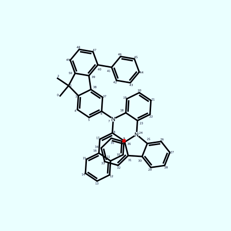 CC1(C)c2ccc(N(c3ccc4ccccc4c3)c3ccccc3-n3c4ccccc4c4ccccc43)cc2-c2c(-c3ccccc3)cccc21